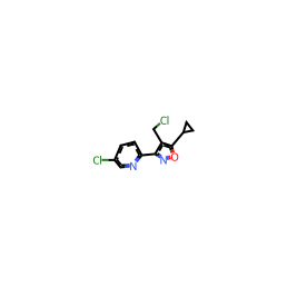 ClCc1c(-c2ccc(Cl)cn2)noc1C1CC1